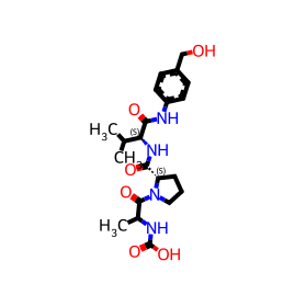 CC(NC(=O)O)C(=O)N1CCC[C@H]1C(=O)N[C@H](C(=O)Nc1ccc(CO)cc1)C(C)C